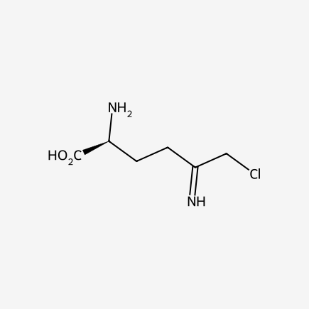 N=C(CCl)CC[C@H](N)C(=O)O